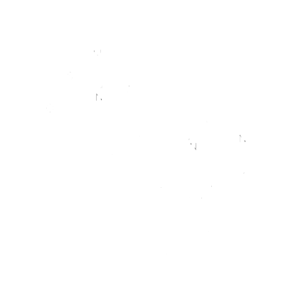 CS(=O)(=O)N1CCC(C2c3ccccc3-c3cncn32)CC1